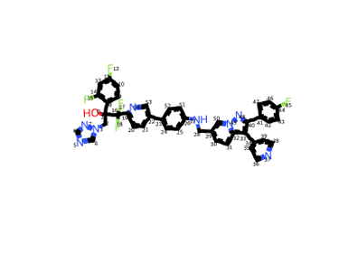 OC(Cn1cncn1)(c1ccc(F)cc1F)C(F)(F)c1ccc(-c2ccc(NCc3ccc4c(-c5ccncc5)c(-c5ccc(F)cc5)nn4c3)cc2)cn1